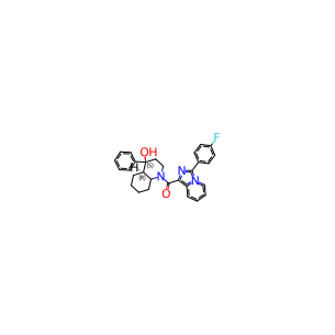 O=C(c1nc(-c2ccc(F)cc2)n2ccccc12)N1CC[C@@](O)(c2ccccc2)[C@@H]2CCCCC21